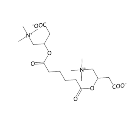 C[N+](C)(C)CC(CC(=O)[O-])OC(=O)CCCCC(=O)OC(CC(=O)[O-])C[N+](C)(C)C